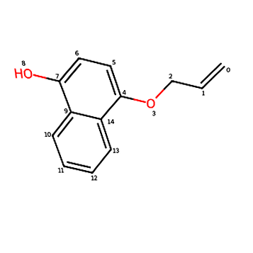 C=CCOc1ccc(O)c2ccccc12